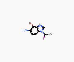 CCCC(I)n1cnc2c(Br)c(N)ccc21